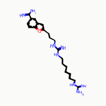 N=C(N)NCCCCCCCNC(=N)NCCCc1cc2cc(C(=N)N)ccc2o1